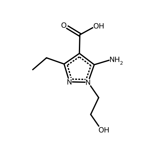 CCc1nn(CCO)c(N)c1C(=O)O